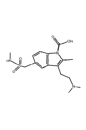 CNS(=O)(=O)Cc1ccc2c(c1)c(CCN(C)C)c(C)n2C(=O)O